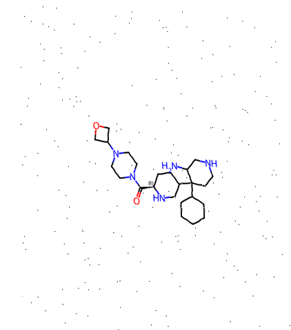 NC1CNCCC1(C1CCCCC1)C1CC[C@H](C(=O)N2CCN(C3COC3)CC2)NC1